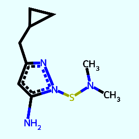 CN(C)Sn1nc(CC2CC2)cc1N